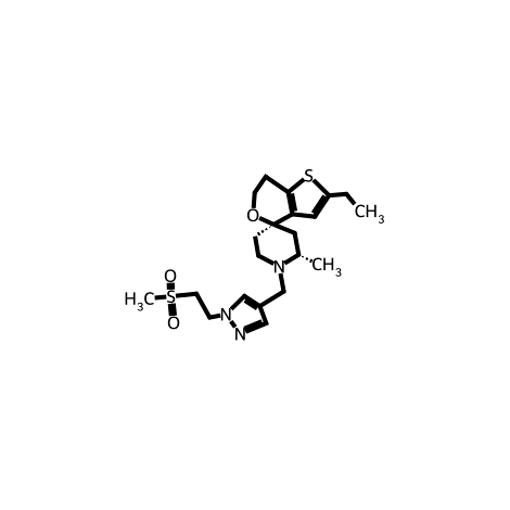 CCc1cc2c(s1)CCO[C@@]21CCN(Cc2cnn(CCS(C)(=O)=O)c2)[C@@H](C)C1